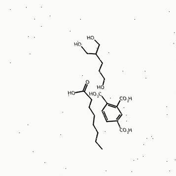 CCCCCCCC(=O)O.O=C(O)c1ccc(C(=O)O)c(C(=O)O)c1.OCCCC(CO)CO